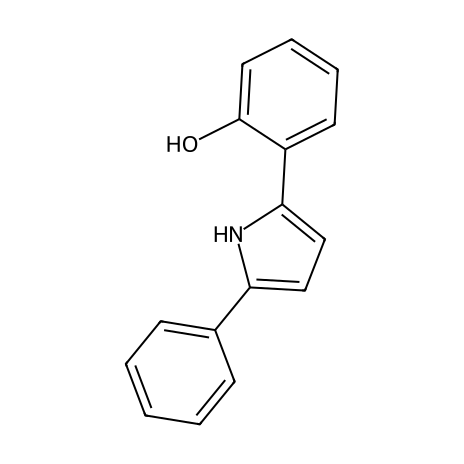 Oc1ccccc1-c1ccc(-c2ccccc2)[nH]1